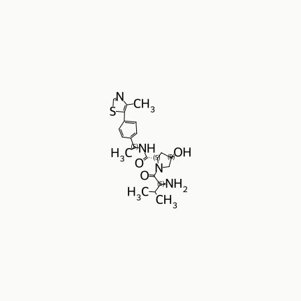 Cc1ncsc1-c1ccc([C@H](C)NC(=O)[C@@H]2C[C@@H](O)CN2C(=O)[C@@H](N)C(C)C)cc1